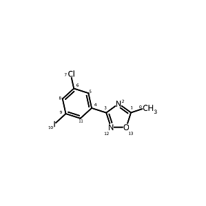 Cc1nc(-c2cc(Cl)cc(I)c2)no1